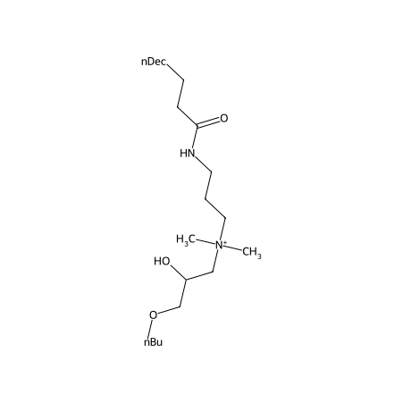 CCCCCCCCCCCCC(=O)NCCC[N+](C)(C)CC(O)COCCCC